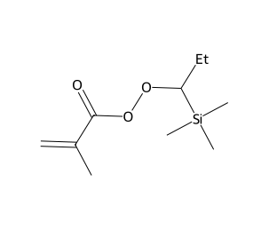 C=C(C)C(=O)OOC(CC)[Si](C)(C)C